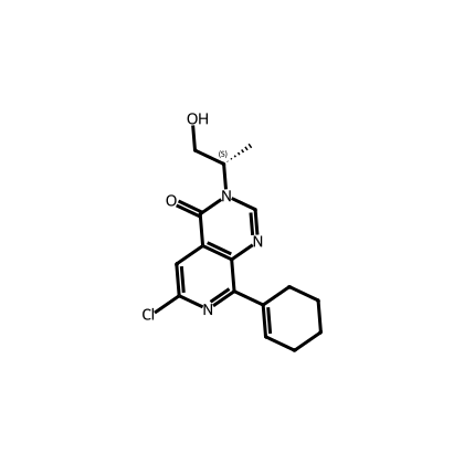 C[C@@H](CO)n1cnc2c(C3=CCCCC3)nc(Cl)cc2c1=O